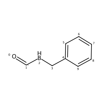 O=[C]BCc1ccccc1